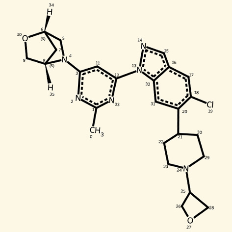 Cc1nc(N2C[C@@H]3C[C@H]2CO3)cc(-n2ncc3cc(Cl)c(C4CCN(C5COC5)CC4)cc32)n1